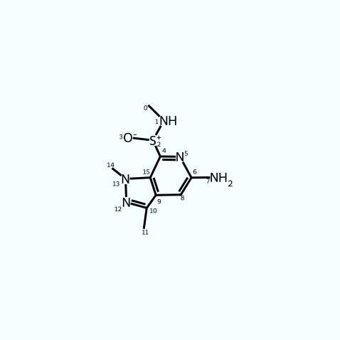 CN[S+]([O-])c1nc(N)cc2c(C)nn(C)c12